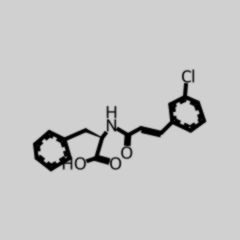 O=C(C=Cc1cccc(Cl)c1)N[C@H](Cc1ccccc1)C(=O)O